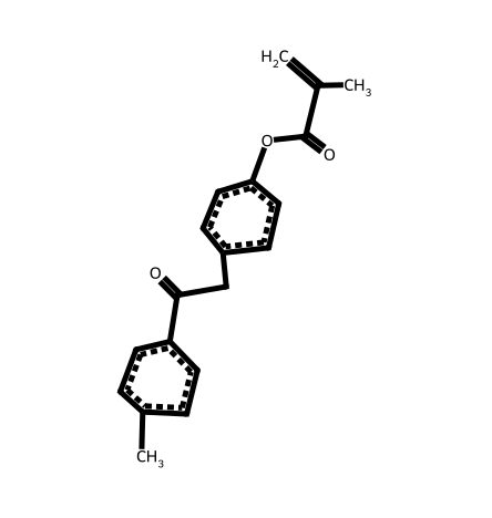 C=C(C)C(=O)Oc1ccc(CC(=O)c2ccc(C)cc2)cc1